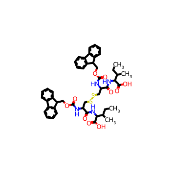 CCC(C)C(NC(=O)C(CSSCC(NC(=O)OCC1c2ccccc2-c2ccccc21)C(=O)NC(C(=O)O)C(C)CC)NC(=O)OCC1c2ccccc2-c2ccccc21)C(=O)O